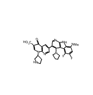 CNc1cc(F)c(F)c2c1[nH]c1ncc(-c3cnc4c(c3)c(=O)c(C(=O)O)cn4C3CCNC3)c(N3CCCC3)c12